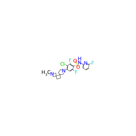 CN1CC2(CCC23CCN(c2cc(F)c(S(=O)(=O)Nc4cccc(F)n4)c(F)c2Cl)C3)C1